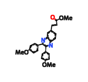 COC(=O)C=Cc1ccc2nc(-c3ccc(OC)cc3)c(-c3ccc(OC)cc3)nc2c1